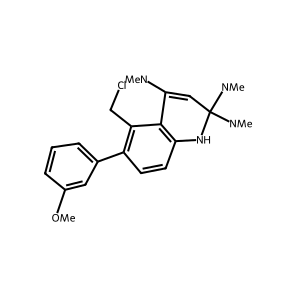 CNC1=CC(NC)(NC)Nc2ccc(-c3cccc(OC)c3)c(CCl)c21